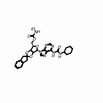 CCNC(=O)OC[C@H]1O[C@@H](n2cnc3c(NC(=O)NC4CCCCC4)ncnc32)C2OC3(Cc4ccccc4C3)OC21